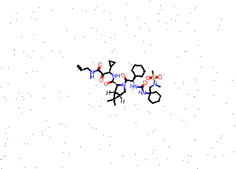 C=CCNC(=O)C(=O)C(NC(=O)[C@@H]1[C@@H]2[C@H](CN1C(=O)[C@@H](NC(=O)NC1(CN(C)S(C)(=O)=O)CCCCC1)C1CCCCC1)C2(C)C)C1CC1